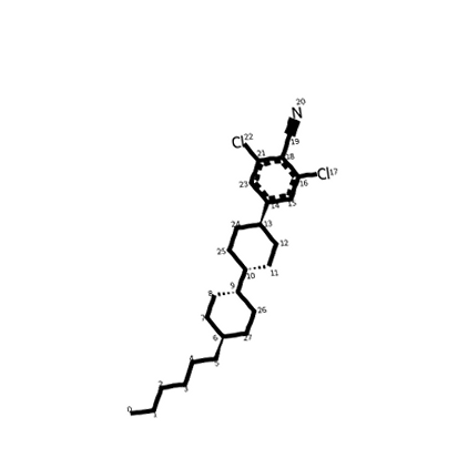 CCCCCC[C@H]1CC[C@H]([C@H]2CC[C@H](c3cc(Cl)c(C#N)c(Cl)c3)CC2)CC1